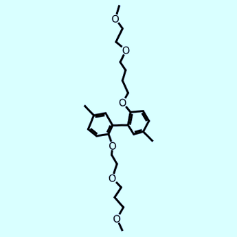 COCCCOCCOc1ccc(C)cc1-c1cc(C)ccc1OCCCCOCCOC